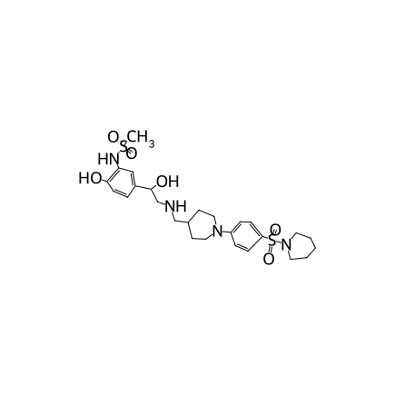 CS(=O)(=O)Nc1cc(C(O)CNCC2CCN(c3ccc(S(=O)(=O)N4CCCCC4)cc3)CC2)ccc1O